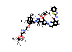 Cc1c(-c2ccc(N3CCc4cccc(C(=O)Nc5nc6ccccc6s5)c4C3)nc2C(=O)OC(C)(C)C)cnn1CC12CC3(C)CC(C)(C1)CC(OCCNCCC(=O)OC(C)(C)C)(C3)C2